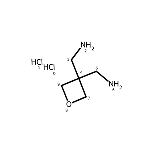 Cl.Cl.NCC1(CN)COC1